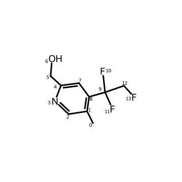 Cc1cnc(CO)cc1C(F)(F)CF